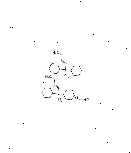 CCC=CC(P)(C1CCCCC1)C1CCCCC1.CCC=CC(P)(C1CCCCC1)C1CCCCC1.[Cl-].[Cl-].[Ni+2]